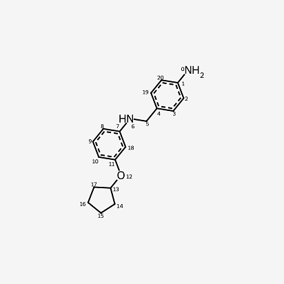 Nc1ccc(CNc2cccc(OC3CCCC3)c2)cc1